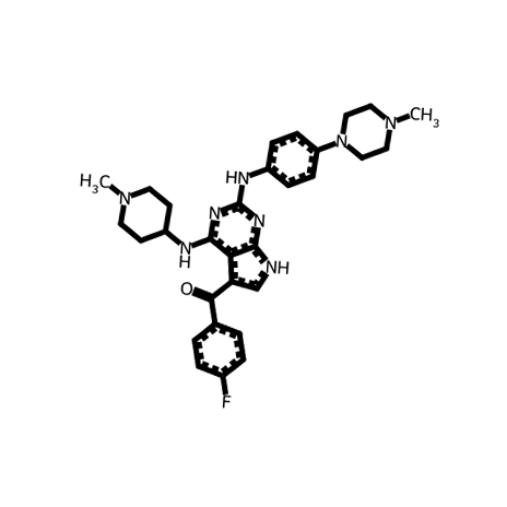 CN1CCC(Nc2nc(Nc3ccc(N4CCN(C)CC4)cc3)nc3[nH]cc(C(=O)c4ccc(F)cc4)c23)CC1